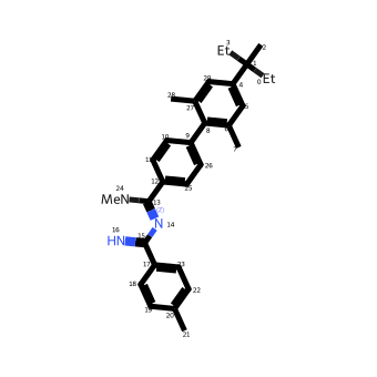 CCC(C)(CC)c1cc(C)c(-c2ccc(/C(=N/C(=N)c3ccc(C)cc3)NC)cc2)c(C)c1